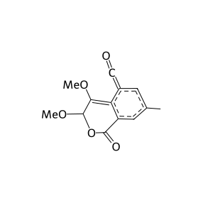 COC1=c2c(cc(C)cc2=C=O)C(=O)OC1OC